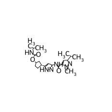 CC(C)NC(=O)O[C@@H]1CC[C@H](c2cc(NC(=O)c3cc(C(C)C)nn3C)n[nH]2)C1